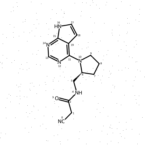 N#CCC(=O)NC[C@@H]1CCCN1c1ncnc2[nH]ccc12